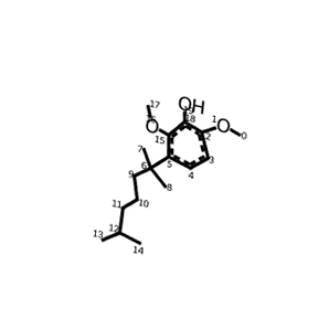 COc1ccc(C(C)(C)CCCC(C)C)c(OC)c1O